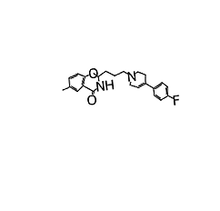 Cc1ccc2c(c1)C(=O)NC(CCCN1CC=C(c3ccc(F)cc3)CC1)O2